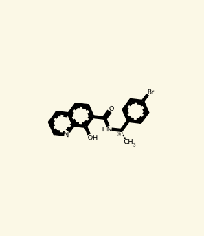 C[C@H](NC(=O)c1ccc2cccnc2c1O)c1ccc(Br)cc1